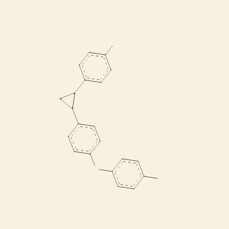 Cc1ccc(Oc2ccc(C3CC3c3ccc(C)cc3)cc2)cc1